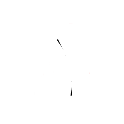 C[C@@H]1O[C@]2(CO)CO[C@H]1C2O